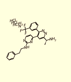 C[C@H](N)c1cc(-c2ccnc(NCCc3ccccc3)n2)c(-c2cccc(C(F)(F)F)c2)nn1.Cl.Cl.Cl.N